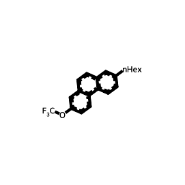 CCCCCCc1ccc2c(ccc3cc(OC(F)(F)F)ccc32)c1